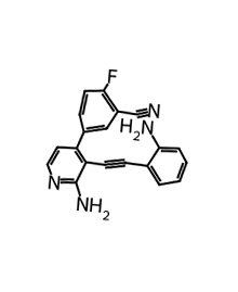 N#Cc1cc(-c2ccnc(N)c2C#Cc2ccccc2N)ccc1F